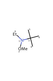 CCN(OC)C(C)(C)C